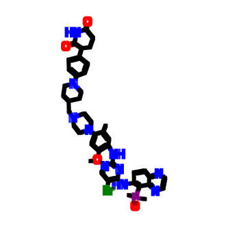 COc1cc(N2CCN(CC3CCN(c4ccc(C5CCC(=O)NC5=O)cc4)CC3)CC2)c(C)cc1Nc1ncc(Br)c(Nc2ccc3nccnc3c2P(C)(C)=O)n1